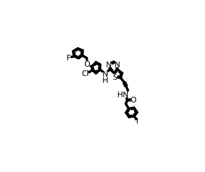 O=C(Cc1ccc(I)cc1)NCC#Cc1cc2ncnc(Nc3ccc(OCc4cccc(F)c4)c(Cl)c3)c2s1